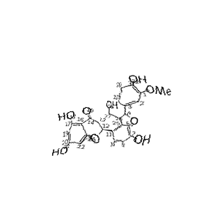 COc1cc(C2Oc3c(O)ccc([C@@H]4CC(=O)c5c(O)cc(O)cc5O4)c3C2CO)ccc1O